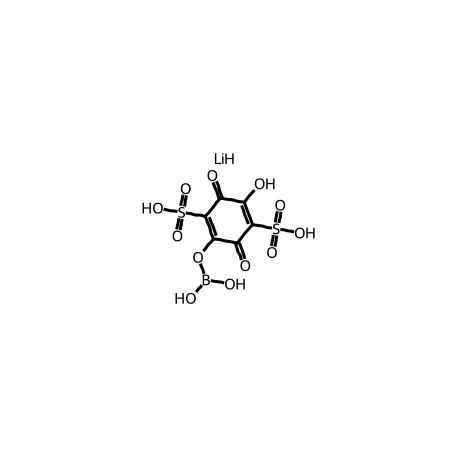 O=C1C(OB(O)O)=C(S(=O)(=O)O)C(=O)C(O)=C1S(=O)(=O)O.[LiH]